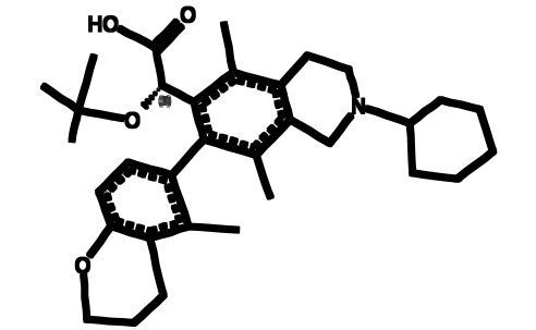 Cc1c(-c2c(C)c3c(c(C)c2[C@H](OC(C)(C)C)C(=O)O)CCN(C2CCCCC2)C3)ccc2c1CCCO2